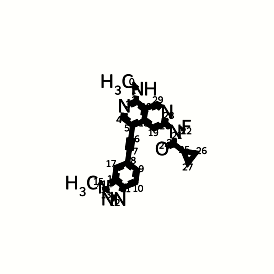 CNc1ncc(C#Cc2ccc3nnn(C)c3c2)c2cc(N(F)C(=O)C3CC3)ncc12